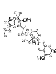 C=C1/C(=C\C=C2/CCC[C@]3(C)[C@@H]([C@H](C)/C=C/C(O)C4(c5cc(CCC)cs5)CC4)CC[C@@H]23)CC(O)C[C@@H]1O